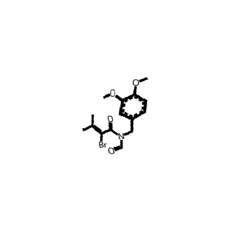 COc1ccc(CN(C=O)C(=O)C(Br)=C(C)C)cc1OC